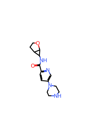 O=C(NC1C2CCOC21)c1ccc(N2CCNCC2)cn1